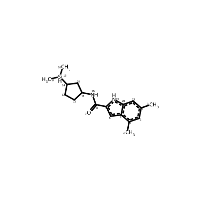 Cc1cc(C)c2cc(C(=O)NC3CCC([SiH](C)C)C3)[nH]c2c1